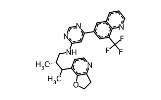 CC(c1ccnc2c1OCC2)[C@H](C)CNc1cc(-c2cc(C(F)(F)F)c3ncccc3c2)ncn1